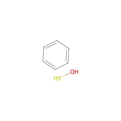 OS.c1ccccc1